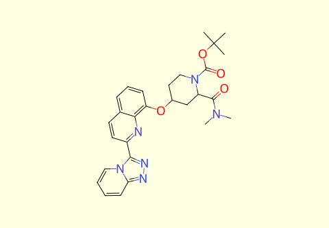 CN(C)C(=O)C1CC(Oc2cccc3ccc(-c4nnc5ccccn45)nc23)CCN1C(=O)OC(C)(C)C